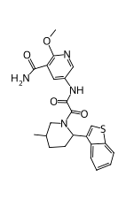 COc1ncc(NC(=O)C(=O)N2CC(C)CCC2c2csc3ccccc23)cc1C(N)=O